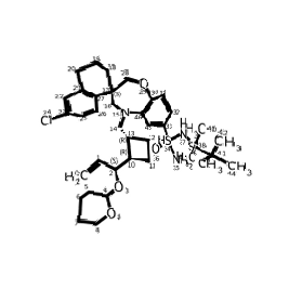 C=C[C@H](OC1CCCCO1)[C@@H]1CC[C@H]1CN1C[C@@]2(CCCc3cc(Cl)ccc32)COc2ccc([SH](N)(=O)N[Si](C)(C)C(C)(C)C)cc21